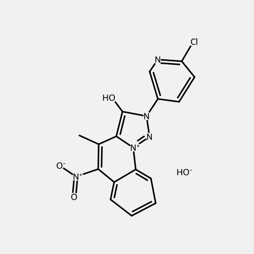 Cc1c([N+](=O)[O-])c2ccccc2[n+]2nn(-c3ccc(Cl)nc3)c(O)c12.[OH-]